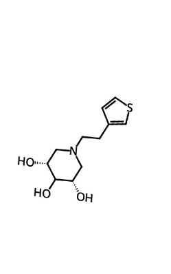 OC1[C@H](O)CN(CCc2ccsc2)C[C@@H]1O